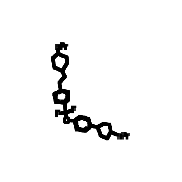 CCCC1CCC(CCc2ccc(C(F)(F)Oc3ccc(C4CCC(CCC)CC4)cc3)cc2)CC1